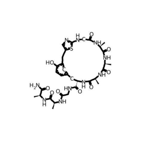 C[C@H](NC(=O)[C@H](C)NC(=O)CNC(=O)[C@@H]1Cc2ccc(O)c(c2)Cc2cnc(s2)NCC(=O)N[C@@H](C)C(=O)N[C@@H](C)C(=O)N[C@@H](C)C(=O)N1)C(N)=O